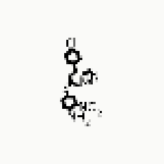 Nc1ccc(SC(CCc2ccc(Cl)cc2)Cn2ccnc2)cc1[N+](=O)[O-]